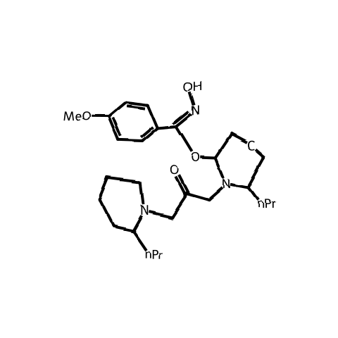 CCCC1CCCCN1CC(=O)CN1C(CCC)CCCC1OC(=NO)c1ccc(OC)cc1